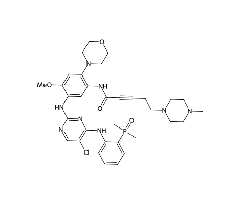 COc1cc(N2CCOCC2)c(NC(=O)C#CCCN2CCN(C)CC2)cc1Nc1ncc(Cl)c(Nc2ccccc2P(C)(C)=O)n1